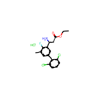 CCOC(=O)CC(N)c1cc(-c2c(Cl)cccc2Cl)cc(C)c1F.Cl